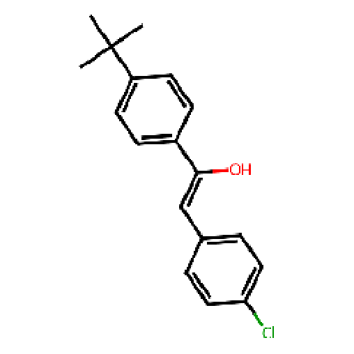 CC(C)(C)c1ccc(C(O)=Cc2ccc(Cl)cc2)cc1